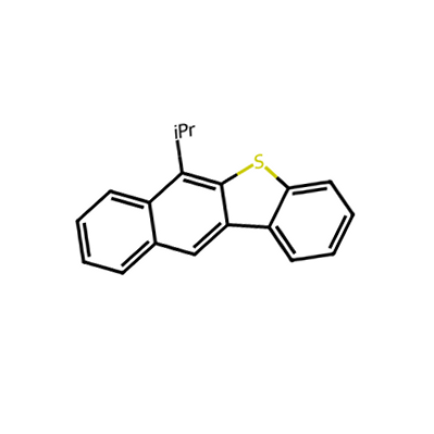 CC(C)c1c2ccccc2cc2c1sc1ccccc12